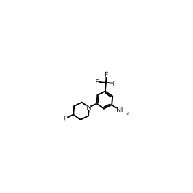 Nc1cc(N2CCC(F)CC2)cc(C(F)(F)F)c1